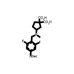 CCCCCCCCCCc1cc(F)c(CN(C)C2CCC(C(=O)O)(C(=O)O)C2)c(F)c1